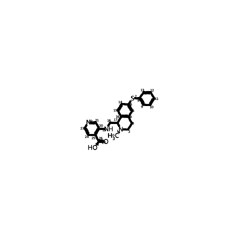 CN1CCc2cc(Sc3ccccc3)ccc2C1CNc1cnccc1C(=O)O